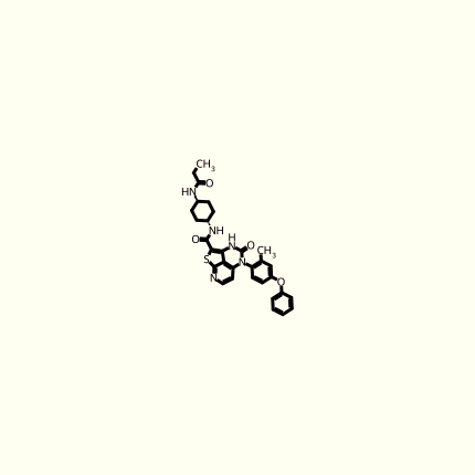 CCC(=O)N[C@H]1CC[C@H](NC(=O)c2sc3nccc4c3c2NC(=O)N4c2ccc(Oc3ccccc3)cc2C)CC1